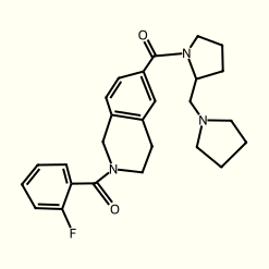 O=C(c1ccccc1F)N1CCc2cc(C(=O)N3CCCC3CN3CCCC3)ccc2C1